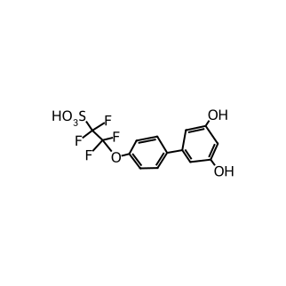 O=S(=O)(O)C(F)(F)C(F)(F)Oc1ccc(-c2cc(O)cc(O)c2)cc1